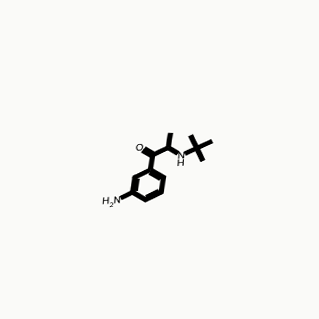 CC(NC(C)(C)C)C(=O)c1cccc(N)c1